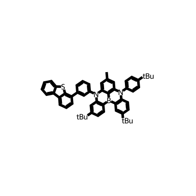 Cc1cc2c3c(c1)N(c1cccc(-c4cccc5c4sc4ccccc45)c1)c1cc(C(C)(C)C)ccc1B3c1cc(C(C)(C)C)ccc1N2c1ccc(C(C)(C)C)cc1